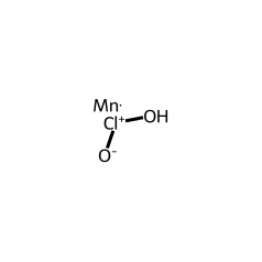 [Mn].[O-][Cl+]O